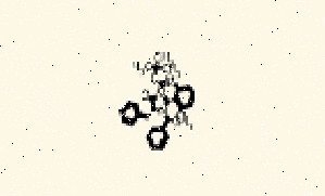 C[C@@H](c1ccccc1)N1[C@H](Cc2ccccc2)C(=O)N(C(=O)OC(C)(C)C)[C@H]1c1c(Cl)cccc1Cl